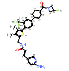 Cc1c(CNC(=O)/C=C/c2ccc(N)nc2)sc(-c2ccc(C3=CC=C(C(=O)N4CC(F)C4)CC3)cc2C(F)(F)F)c1C